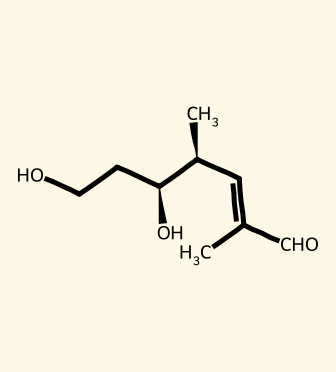 C/C(C=O)=C\[C@H](C)[C@@H](O)CCO